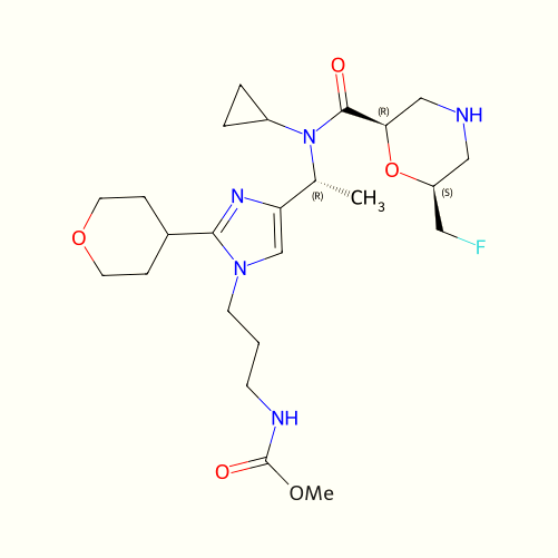 COC(=O)NCCCn1cc([C@@H](C)N(C(=O)[C@H]2CNC[C@@H](CF)O2)C2CC2)nc1C1CCOCC1